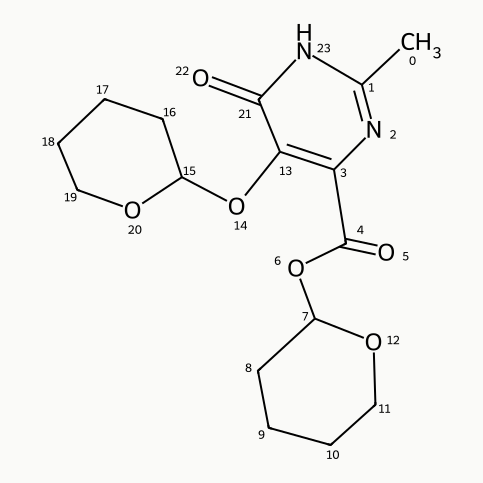 Cc1nc(C(=O)OC2CCCCO2)c(OC2CCCCO2)c(=O)[nH]1